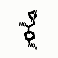 O=[N+]([O-])c1ccc(C(O)Cn2ccnc2)cc1